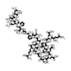 CC(C)C[C@H](NC(=O)[C@@H](NC(=O)[C@H](CC(C)C)NC(=O)[C@@H]1CCCN1C(=O)[C@@H](NC(=O)CNC(=O)[C@@H]1CCCN1C(=O)[C@@H](NC(=O)[C@@H](NC(=O)[C@H](CC(C)C)NC(=O)[C@H](CCCNC(=N)N)NC(=O)CNC(=O)CNC(=O)[C@H](CO)NC(=O)[C@H](CCC(=O)O)NC(=O)[C@H](CCC(=O)O)NC(=O)[C@H](CC(C)C)NC(=O)[C@H](CCC(N)=O)NC(=O)[C@H](CCC(=O)O)NC(=O)[C@@H](N)CCC(N)=O)C(C)C)[C@@H](C)O)[C@@H](C)O)[C@@H](C)O)C(=O)O